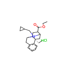 CCOC(=O)C1CC2C3Cc4ccccc4[C@]2(CC)CC1N3CC1CC1.Cl